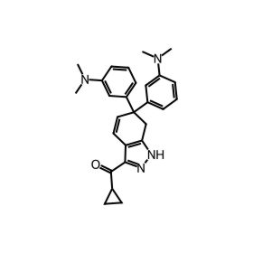 CN(C)c1cccc(C2(c3cccc(N(C)C)c3)C=Cc3c(C(=O)C4CC4)n[nH]c3C2)c1